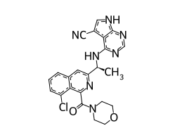 C[C@H](Nc1ncnc2[nH]cc(C#N)c12)c1cc2cccc(Cl)c2c(C(=O)N2CCOCC2)n1